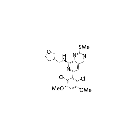 COc1cc(OC)c(Cl)c(-c2cc3cnc(SC)nc3c(NCC3CCOC3)n2)c1Cl